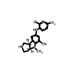 CN1c2c(C#N)cc(Nc3ccc(C(F)(F)F)nc3Cl)cc2[C@@H]2CNCC[C@@H]21